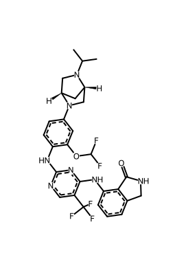 CC(C)N1C[C@@H]2C[C@H]1CN2c1ccc(Nc2ncc(C(F)(F)F)c(Nc3cccc4c3C(=O)NC4)n2)c(OC(F)F)c1